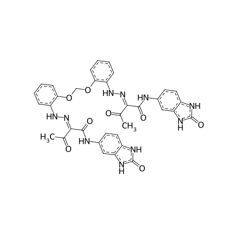 CC(=O)/C(=N\Nc1ccccc1OCOc1ccccc1N/N=C(\C(C)=O)C(=O)Nc1ccc2[nH]c(=O)[nH]c2c1)C(=O)Nc1ccc2[nH]c(=O)[nH]c2c1